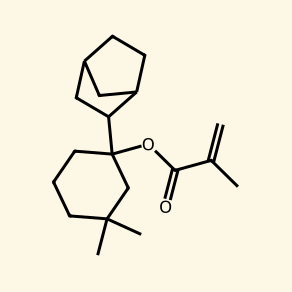 C=C(C)C(=O)OC1(C2CC3CCC2C3)CCCC(C)(C)C1